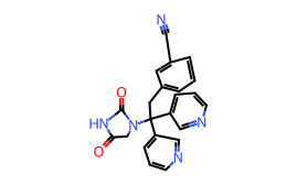 N#Cc1cccc(CC(c2cccnc2)(c2cccnc2)N2CC(=O)NC2=O)c1